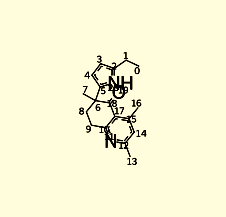 CCc1ccc(C2(C)CCc3nc(C)cc(C)c3C2=O)[nH]1